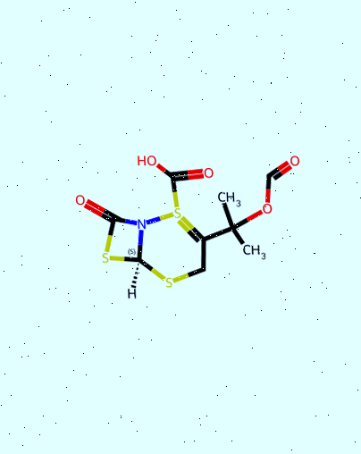 CC(C)(OC=O)C1=S(C(=O)O)N2C(=O)S[C@@H]2SC1